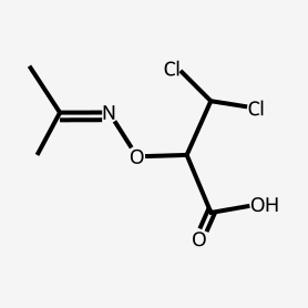 CC(C)=NOC(C(=O)O)C(Cl)Cl